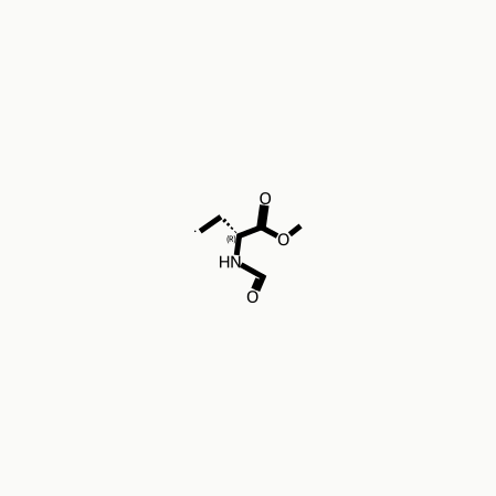 [CH2]C[C@@H](NC=O)C(=O)OC